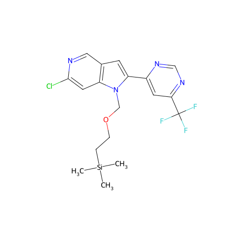 C[Si](C)(C)CCOCn1c(-c2cc(C(F)(F)F)ncn2)cc2cnc(Cl)cc21